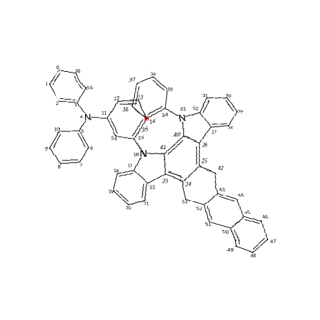 c1ccc(N(c2ccccc2)c2cccc(-n3c4ccccc4c4c5c(c6c7ccccc7n(-c7ccccc7)c6c43)Cc3cc4ccccc4cc3C5)c2)cc1